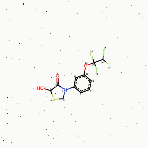 O=C1C(O)SCN1c1cccc(OC(F)(F)C(F)F)c1